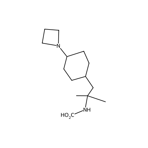 CC(C)(CC1CCC(N2CCC2)CC1)NC(=O)O